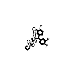 O=S(=O)(c1c[nH]c(C(c2ccc(F)c(F)c2)c2ccc(F)c(Cl)c2)n1)N1CCCC1